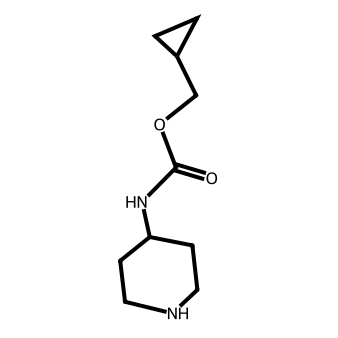 O=C(NC1CCNCC1)OCC1CC1